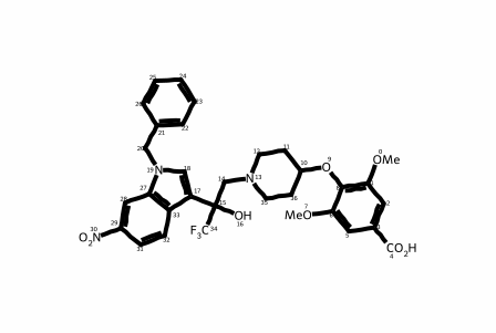 COc1cc(C(=O)O)cc(OC)c1OC1CCN(CC(O)(c2cn(Cc3ccccc3)c3cc([N+](=O)[O-])ccc23)C(F)(F)F)CC1